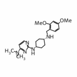 COc1ccc(CN[C@H]2CC[C@@H](Nc3nccc(N(C)C)n3)CC2)c(OC)c1